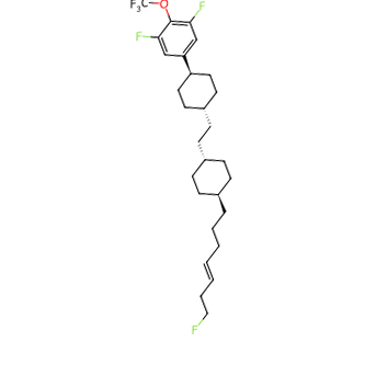 FCCC=CCCC[C@H]1CC[C@H](CC[C@H]2CC[C@H](c3cc(F)c(OC(F)(F)F)c(F)c3)CC2)CC1